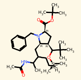 CCCC(C[C@@H]1[C@H](C(O[SiH](C)C)C(C)(C)C)C[C@H](C(=O)OC(C)(C)C)N1Cc1ccccc1)C(C)NC(C)=O